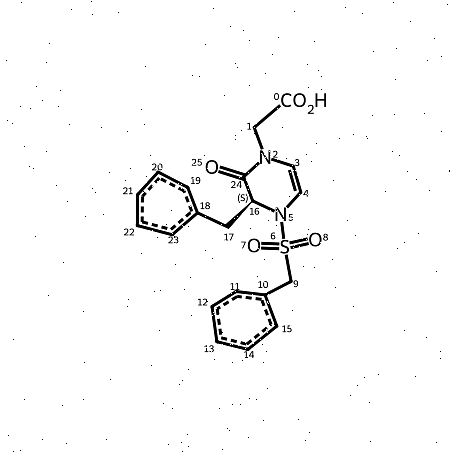 O=C(O)CN1C=CN(S(=O)(=O)Cc2ccccc2)[C@@H](Cc2ccccc2)C1=O